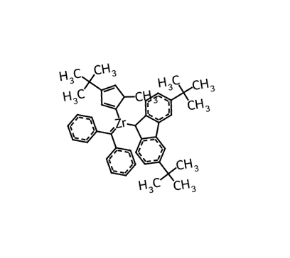 CC1C=C(C(C)(C)C)C=[C]1[Zr](=[C](c1ccccc1)c1ccccc1)[CH]1c2ccc(C(C)(C)C)cc2-c2cc(C(C)(C)C)ccc21